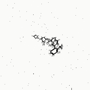 O=C(NC1=CC=C(CN2CCCC2)CN1)c1cnc2n1NC(c1ccccc1C(F)(F)F)C=C2